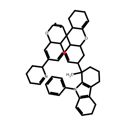 CC1(C2C=CC3C(C2)OC2=CCCCC2C32C3C=CC=CC3OC3C=C(C4CCCC=N4)C=CC32)CCCc2c3c(n(-c4ccccc4)c21)C=CCC3